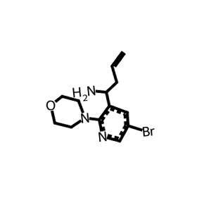 C=CCC(N)c1cc(Br)cnc1N1CCOCC1